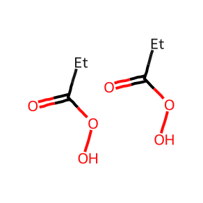 CCC(=O)OO.CCC(=O)OO